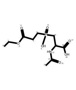 CCOC(=O)CCP(=O)(O)CC(NC(C)=O)C(=O)O